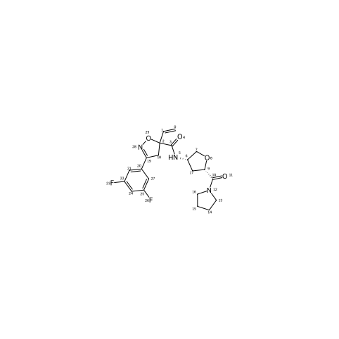 C=CC1(C(=O)N[C@@H]2CO[C@H](C(=O)N3CCCC3)C2)CC(c2cc(F)cc(F)c2)=NO1